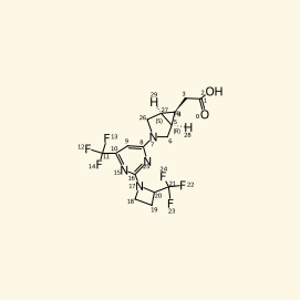 O=C(O)C[C@H]1[C@H]2CN(c3cc(C(F)(F)F)nc(N4CCC4C(F)(F)F)n3)C[C@@H]12